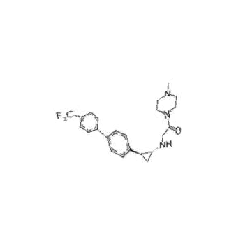 CN1CCN(C(=O)CN[C@@H]2C[C@H]2c2ccc(-c3ccc(C(F)(F)F)cc3)cc2)CC1